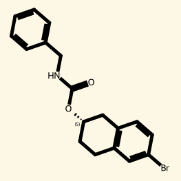 O=C(NCc1ccccc1)O[C@H]1CCc2cc(Br)ccc2C1